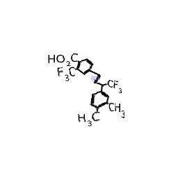 Cc1ccc(C(/C=C/c2ccc(C(=O)O)c(C(F)(F)F)c2)C(F)(F)F)cc1C